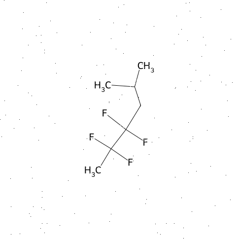 CC(C)CC(F)(F)C(C)(F)F